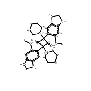 COc1cc2c(cc1C1(N3CCCCC3)C(=O)C(c3cc4c(cc3OC)OCO4)(N3CCCCC3)C1=O)OCO2